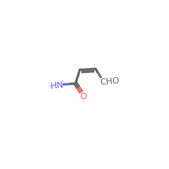 [NH]C(=O)/C=C\C=O